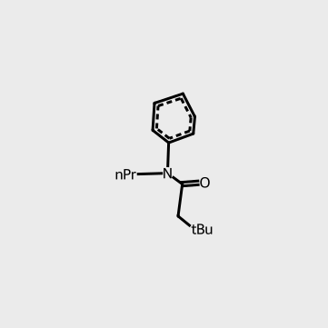 CCCN(C(=O)CC(C)(C)C)c1ccccc1